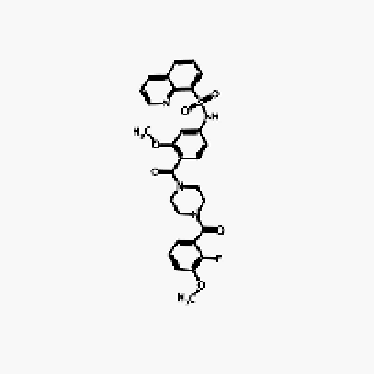 COc1cc(NS(=O)(=O)c2cccc3cccnc23)ccc1C(=O)N1CCN(C(=O)c2cccc(OC)c2F)CC1